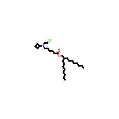 CCCCCCCCC(CCCCCCCC)COC(=O)CCCCCN(CCCl)C1CCC1